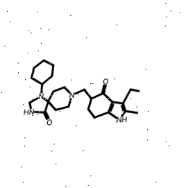 CCc1c(C)[nH]c2c1C(=O)C(CN1CCC3(CC1)C(=O)NCN3C1CCCCC1)CC2